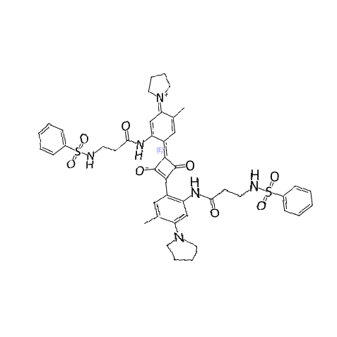 CC1=C/C(=C2\C(=O)C(c3cc(C)c(N4CCCC4)cc3NC(=O)CCNS(=O)(=O)c3ccccc3)=C2[O-])C(NC(=O)CCNS(=O)(=O)c2ccccc2)=CC1=[N+]1CCCC1